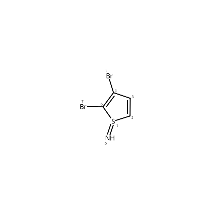 N=S1C=CC(Br)=C1Br